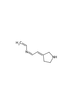 C=C/N=C\C=C1/CCNC1